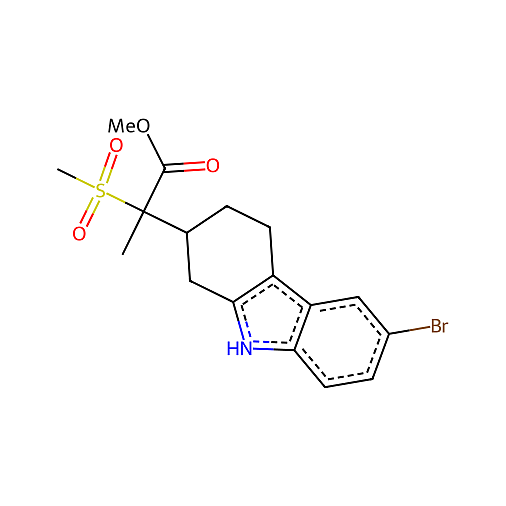 COC(=O)C(C)(C1CCc2c([nH]c3ccc(Br)cc23)C1)S(C)(=O)=O